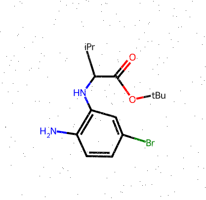 CC(C)C(Nc1cc(Br)ccc1N)C(=O)OC(C)(C)C